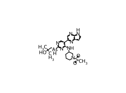 CC(C)(O)C[AsH]c1ncc(-c2cnc3[nH]ccc3n2)c(NC2CCCN(S(C)(=O)=O)C2)n1